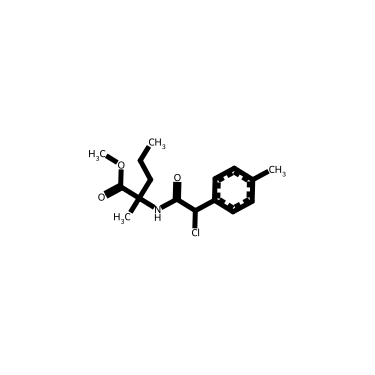 CCCC(C)(NC(=O)C(Cl)c1ccc(C)cc1)C(=O)OC